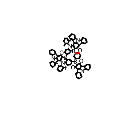 Cc1cccc(F)c1N1c2cc3c(cc2B2c4ccccc4Oc4c2c1c1c2ccccc2n2c5ccccc5c4c12)B1c2cc4c(cc2N(c2c(F)cccc2F)c2c1c(c1c5ccccc5n5c6ccccc6c2c15)O3)Oc1c2c(c3c5ccccc5n5c6ccccc6c1c35)Oc1ccccc1B42